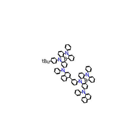 CC(C)(C)c1ccc(N2c3cc(N(c4ccccc4)c4ccc(-c5cccc(N6c7cc(N(c8ccccc8)c8cccc9ccccc89)ccc7B7c8ccccc8N(c8ccccc8)c8cccc6c87)c5)c5ccccc45)ccc3B3c4ccccc4N(c4ccccc4)c4cccc2c43)cc1